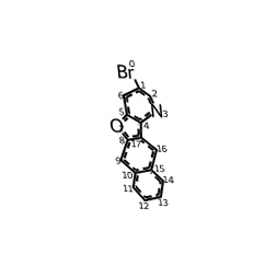 Brc1cnc2c(c1)oc1cc3ccccc3cc12